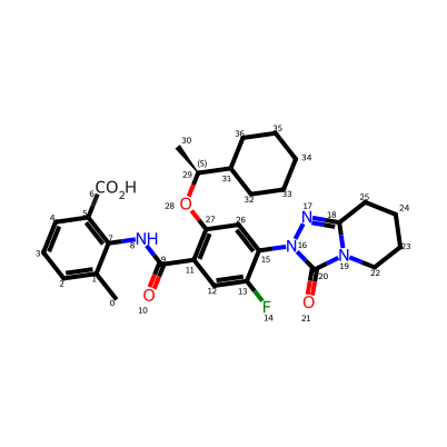 Cc1cccc(C(=O)O)c1NC(=O)c1cc(F)c(-n2nc3n(c2=O)CCCC3)cc1O[C@@H](C)C1CCCCC1